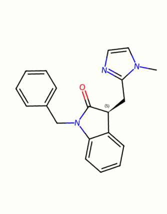 Cn1ccnc1C[C@@H]1C(=O)N(Cc2ccccc2)c2ccccc21